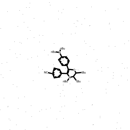 CCCCN(CCCC)c1ccc(C2=C(c3ccc(C#N)cc3)N(CCCC)C(C(C)(C)C)C(C(C)(C)C)O2)cc1